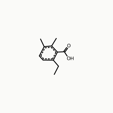 CCc1ccc(C)c(C)c1C(=O)O